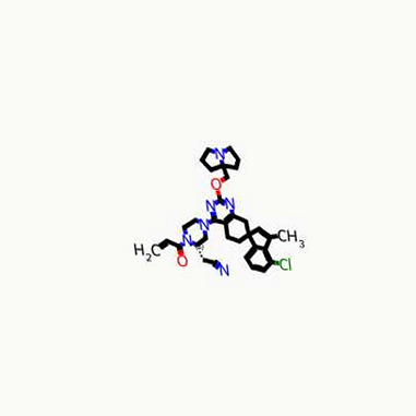 C=CC(=O)N1CCN(c2nc(OCC34CCCN3CCC4)nc3c2CCC2(C=C(C)c4c(Cl)cccc42)C3)C[C@@H]1CC#N